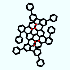 c1ccc(-c2ccc3c(c2)-c2cc(-c4ccccc4)cc4c2B3c2cc3c(-c5c(-c6ccccc6)cccc5-c5ccccc5)cc5c6c(cc7c(-c8c(-c9ccccc9)cccc8-c8ccccc8)cc-4c2c7c36)B2c3ccc(-c4ccccc4)cc3-c3cc(-c4ccccc4)cc-5c32)cc1